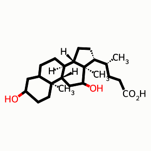 C[C@H](CCC(=O)O)[C@H]1CC[C@H]2[C@@H]3CCC4CC(O)CC[C@]4(C)[C@H]3CC(O)[C@]12C